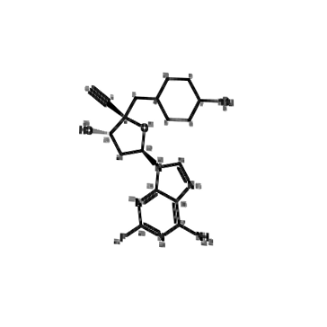 C#C[C@@]1(CC2CCC(CCCC)CC2)O[C@@H](n2cnc3c(N)nc(F)nc32)C[C@@H]1O